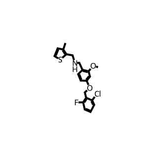 COc1cc(OCc2c(F)cccc2Cl)ccc1CNCc1sccc1C